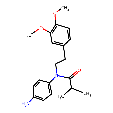 COc1ccc(CCN(C(=O)C(C)C)c2ccc(N)cc2)cc1OC